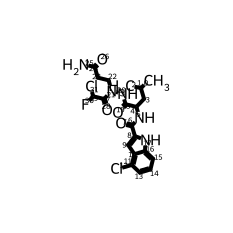 CC(C)CC(NC(=O)c1cc2c(Cl)cccc2[nH]1)C(=O)NN(CCC(N)=O)C(=O)C(F)Cl